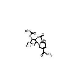 CCCC(=O)O[C@@H]1[C@@H](CO)OC(N2C=CC=C(C(N)=O)C2)[C@@H]1OC(=O)CCC